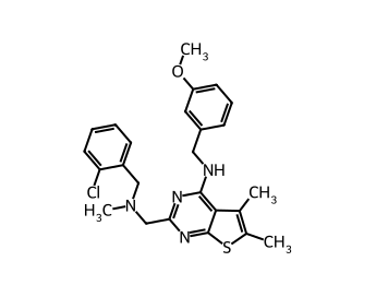 COc1cccc(CNc2nc(CN(C)Cc3ccccc3Cl)nc3sc(C)c(C)c23)c1